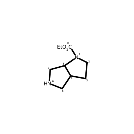 CCOC(=O)N1CCC2CNCC21